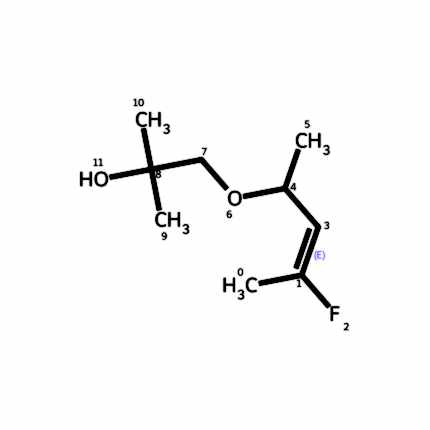 C/C(F)=C\C(C)OCC(C)(C)O